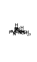 C=C(CC)Nc1cncc(-c2cnc3[nH]nc(-c4cc5c(-c6cccc(F)c6)cncc5[nH]4)c3c2)c1